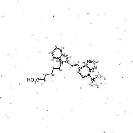 CN(C)c1ccc(/C=C/c2sc3ccccc3[n+]2CCCCCC(=O)O)c2nsnc12